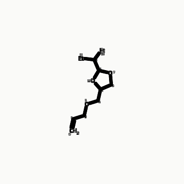 C=CCOCC1COC(C(CC)CC)O1